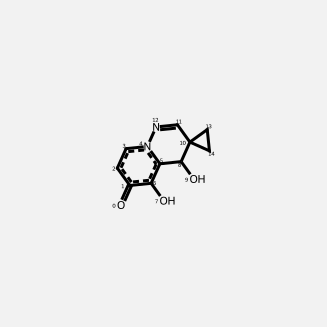 O=c1ccn2c(c1O)C(O)C1(C=N2)CC1